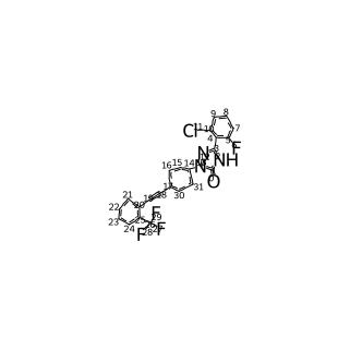 O=c1[nH]c(-c2c(F)cccc2Cl)nn1-c1ccc(C#Cc2ccccc2C(F)(F)F)cc1